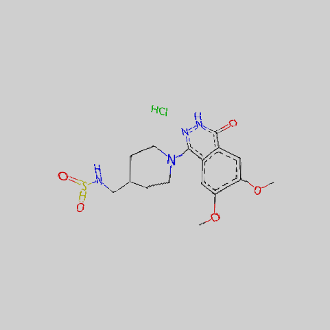 COc1cc2c(N3CCC(CN[SH](=O)=O)CC3)n[nH]c(=O)c2cc1OC.Cl